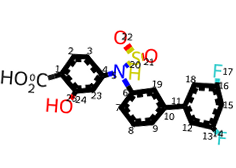 O=C(O)c1ccc(N(c2cccc(-c3cc(F)cc(F)c3)c2)[SH](=O)=O)cc1O